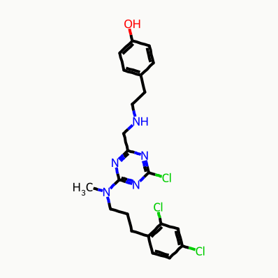 CN(CCCc1ccc(Cl)cc1Cl)c1nc(Cl)nc(CNCCc2ccc(O)cc2)n1